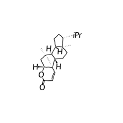 CC(C)[C@H]1CC[C@H]2[C@@H]3[C@@H](C)C[C@H]4OC(=O)C=C[C@]4(C)[C@H]3CC[C@]12C